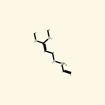 C=C[SiH2]OCC=C(OC)OC